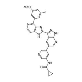 COc1cc(F)cc(-c2nccc3[nH]c(-c4n[nH]c5ncc(-c6cncc(NC(=O)C7CC7)c6)cc45)nc23)c1